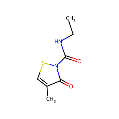 CCNC(=O)n1scc(C)c1=O